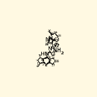 CC1CCc2c1cc1c(c2NC(=O)N=S(N)(=O)c2cnn3c2OCCC3C)CCC1